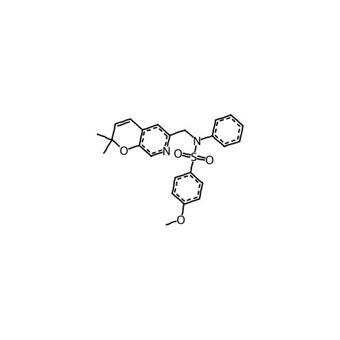 COc1ccc(S(=O)(=O)N(Cc2cc3c(cn2)OC(C)(C)C=C3)c2ccccc2)cc1